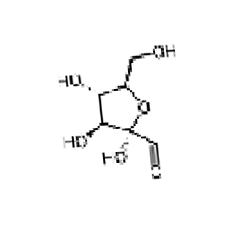 O=C[C@]1(O)O[C@H](CO)[C@@H](O)[C@@H]1O